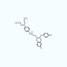 OCCN(CCO)c1ccc(CNCCN2Cc3ccc(F)cc3CC2Cc2ccc(F)cc2)cc1